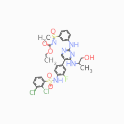 CCOC(=O)N=[S@@](C)(=O)c1cccc(Nc2ncc(-c3ccc(NS(=O)(=O)c4cccc(Cl)c4Cl)c(F)c3)c(NC(C)CO)n2)c1